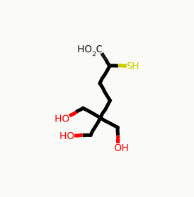 O=C(O)C(S)CCC(CO)(CO)CO